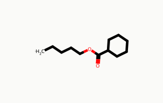 [CH2]CCCCOC(=O)C1CCCCC1